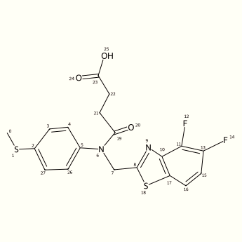 CSc1ccc(N(Cc2nc3c(F)c(F)ccc3s2)C(=O)CCC(=O)O)cc1